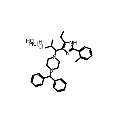 CCc1[nH]c(-c2ccccc2C)nc1C(C(C)C)N1CCN(C(c2ccccc2)c2ccccc2)CC1.Cl.Cl.Cl